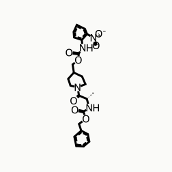 C[C@H](NC(=O)OCc1ccccc1)C(=O)N1CCC(COC(=O)Nc2ccccc2[N+](=O)[O-])CC1